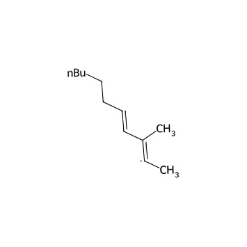 C/[C]=C(\C)C=CCCCCCC